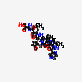 CCCC(NC(=O)C[C@H]1CCC(=O)[C@H]1CNC(=O)[C@@H](NC(=O)[C@H](NC(=O)c1cnccn1)C(C)C)C(C)C)C(=O)C(=O)NCC(=O)O